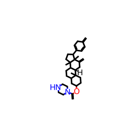 C=C1C=CC(C2CCC3(C)C4CCC5CC(OC(=C)N6CCNCC6)CCC5(C)[C@H]4CC(=C)C23C)=CC1